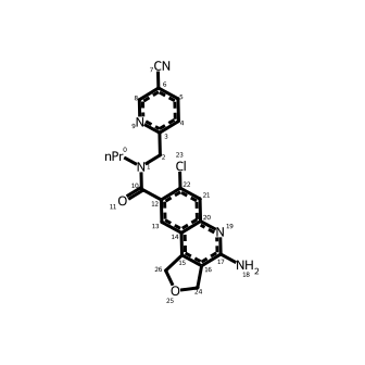 CCCN(Cc1ccc(C#N)cn1)C(=O)c1cc2c3c(c(N)nc2cc1Cl)COC3